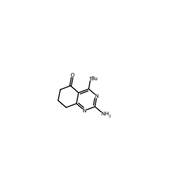 CC(C)(C)c1nc(N)nc2c1C(=O)CCC2